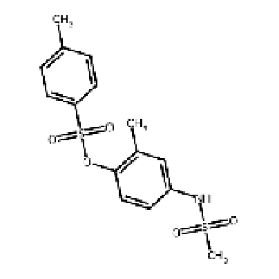 Cc1ccc(S(=O)(=O)Oc2ccc(NS(C)(=O)=O)cc2C)cc1